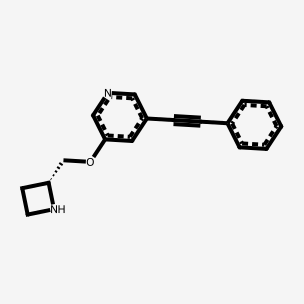 C(#Cc1cncc(OC[C@H]2CCN2)c1)c1ccccc1